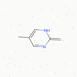 C=C1N=CC(C)=CN1